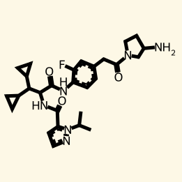 CC(C)n1nccc1C(=O)NC(C(=O)Nc1ccc(CC(=O)N2CCC(N)C2)cc1F)C(C1CC1)C1CC1